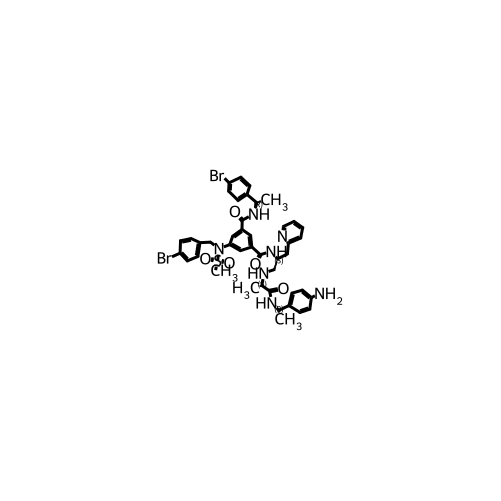 C[C@H](NC[C@H](Cc1ccccn1)NC(=O)c1cc(C(=O)N[C@H](C)c2ccc(Br)cc2)cc(N(Cc2ccc(Br)cc2)S(C)(=O)=O)c1)C(=O)N[C@H](C)c1ccc(N)cc1